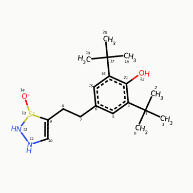 CC(C)(C)c1cc(CCC2=CNN[S+]2[O-])cc(C(C)(C)C)c1O